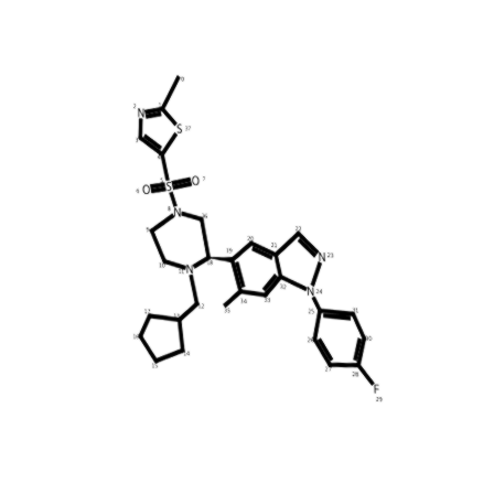 Cc1ncc(S(=O)(=O)N2CCN(CC3CCCC3)[C@H](c3cc4cnn(-c5ccc(F)cc5)c4cc3C)C2)s1